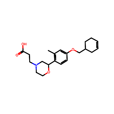 Cc1cc(OCC2CC=CCC2)ccc1C1CN(CCC(=O)O)CCO1